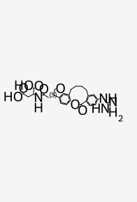 N=C(N)Nc1ccc2c(c1)CCCCc1c(ccc3c1OC[C@H]3CC(=O)NC(CC(=O)O)C(=O)O)OC2=O